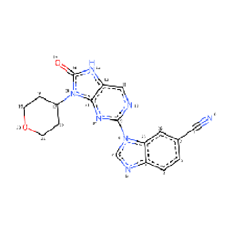 N#Cc1ccc2ncn(-c3ncc4[nH]c(=O)n(C5CCOCC5)c4n3)c2c1